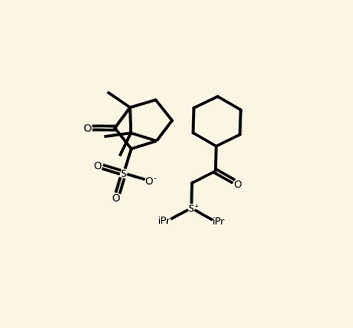 CC(C)[S+](CC(=O)C1CCCCC1)C(C)C.CC12CCC(C(S(=O)(=O)[O-])C1=O)C2(C)C